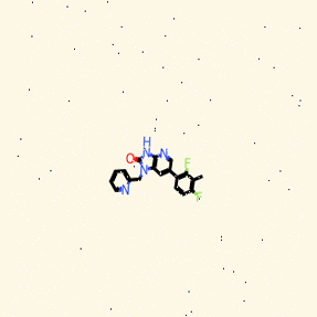 Cc1c(F)ccc(-c2cnc3[nH]c(=O)n(Cc4ccccn4)c3c2)c1F